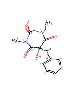 CN1C(=O)N(C)C(=O)C(O)(Cc2ccccc2)C1=O